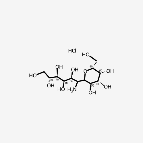 Cl.NC(C1O[C@H](CO)[C@H](O)[C@H](O)[C@H]1O)[C@H](O)[C@@H](O)[C@H](O)[C@H](O)CO